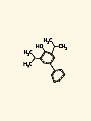 CC(C)c1cc(-c2cc[c]cc2)cc(C(C)C)c1O